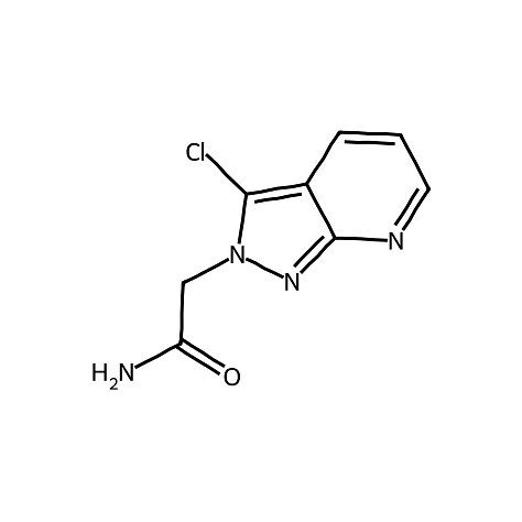 NC(=O)Cn1nc2ncccc2c1Cl